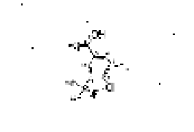 O=C(O)c1cc(F)c(Cl)c(C(F)(F)F)c1